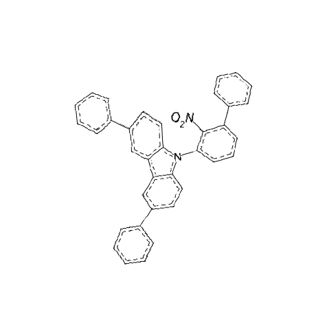 O=[N+]([O-])c1c(-c2ccccc2)cccc1-n1c2ccc(-c3ccccc3)cc2c2cc(-c3ccccc3)ccc21